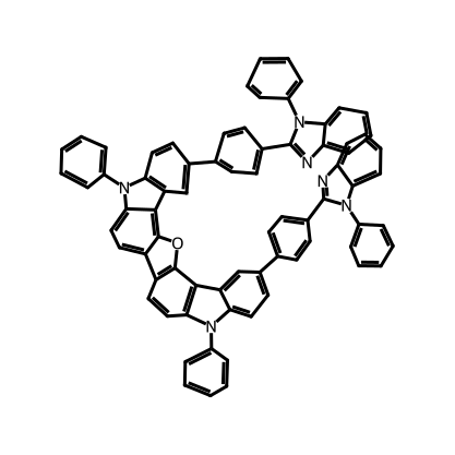 c1ccc(-n2c(-c3ccc(-c4ccc5c(c4)c4c6oc7c(ccc8c7c7cc(-c9ccc(-c%10nc%11ccccc%11n%10-c%10ccccc%10)cc9)ccc7n8-c7ccccc7)c6ccc4n5-c4ccccc4)cc3)nc3ccccc32)cc1